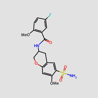 COc1ccc(F)cc1C(=O)NC1COc2cc(OC)c(S(N)(=O)=O)cc2C1